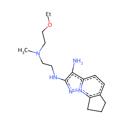 CCOCCN(C)CCNc1nn2c3c(ccc2c1N)CCC3